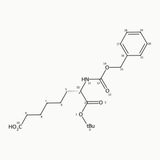 CC(C)(C)OC(=O)[C@H](CCCCCC(=O)O)NC(=O)OCc1ccccc1